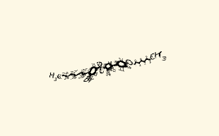 CCCCCCCCOc1ccc(-c2ccc(OC(=O)c3ccc(CCCCCCC)c(Br)c3)cc2)cc1